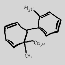 Cc1ccccc1C1C=CC=CC1(C)C(=O)O